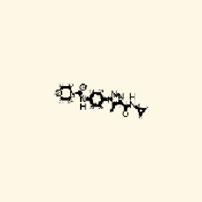 Cc1c(C(=O)NC2CC2)nnn1-c1ccc(NC(=O)N2CCOCC2)cc1